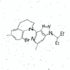 CCC(CC)n1nnc2c(N3CCCc4cc(C)cc(Br)c43)nc(C)cc21